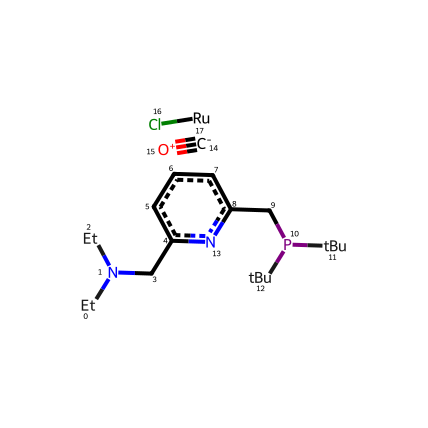 CCN(CC)Cc1cccc(CP(C(C)(C)C)C(C)(C)C)n1.[C-]#[O+].[Cl][Ru]